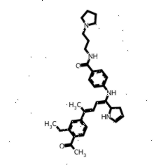 CCc1cc(/C(C)=C/C=C(/Nc2ccc(C(=O)NCCCN3CCCC3)cc2)C2CC=CN2)ccc1C(C)=O